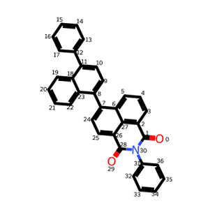 O=C1c2cccc3c(-c4ccc(-c5ccccc5)c5ccccc45)ccc(c23)C(=O)N1c1ccccc1